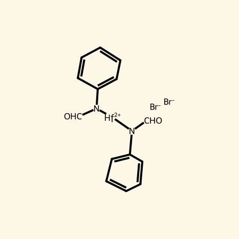 O=C[N]([Hf+2][N](C=O)c1ccccc1)c1ccccc1.[Br-].[Br-]